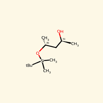 C[C@H](O)C[C@@H](C)O[Si](C)(C)C(C)(C)C